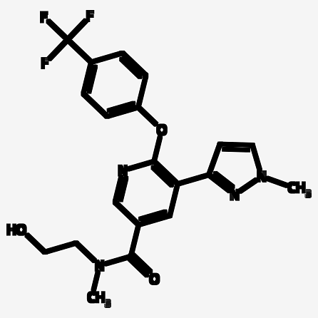 CN(CCO)C(=O)c1cnc(Oc2ccc(C(F)(F)F)cc2)c(-c2ccn(C)n2)c1